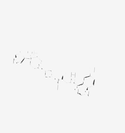 O=C(CNc1ncnc2ccc(C(F)(F)F)cc12)N[C@H]1C[C@H](N2CCC(O)(c3cncs3)CC2)C1